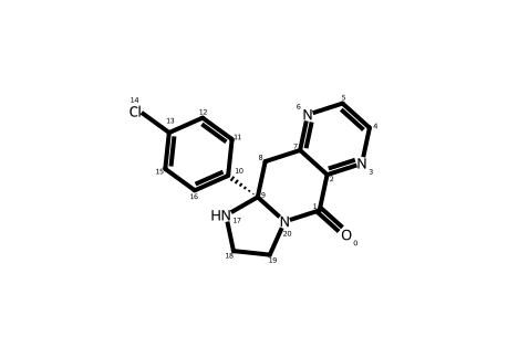 O=C1c2nccnc2C[C@]2(c3ccc(Cl)cc3)NCCN12